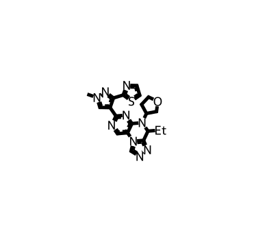 CCC1c2nncn2-c2cnc(-c3cn(C)nc3-c3nccs3)nc2N1C1CCOC1